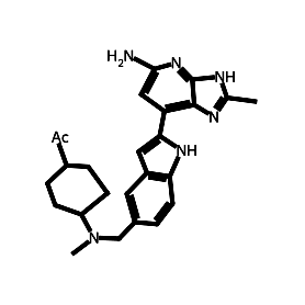 CC(=O)C1CCC(N(C)Cc2ccc3[nH]c(-c4cc(N)nc5[nH]c(C)nc45)cc3c2)CC1